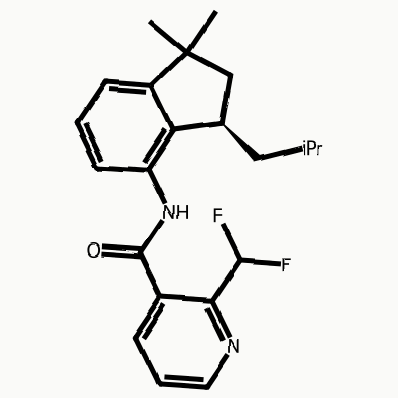 CC(C)C[C@@H]1CC(C)(C)c2cccc(NC(=O)c3cccnc3C(F)F)c21